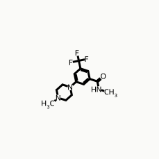 CNC(=O)c1cc(N2CCN(C)CC2)cc(C(F)(F)F)c1